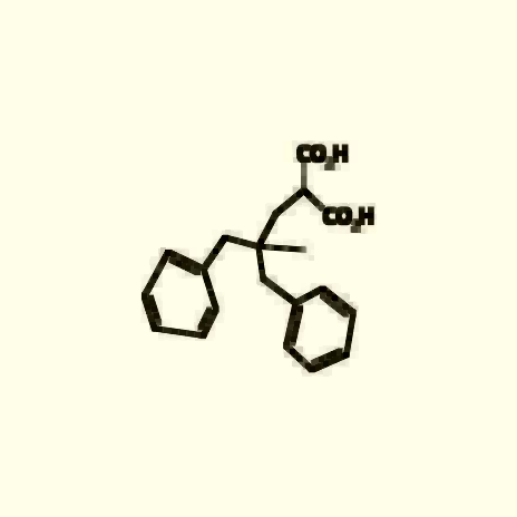 CC(Cc1ccccc1)(Cc1ccccc1)CC(C(=O)O)C(=O)O